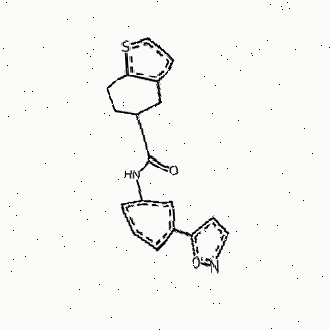 O=C(Nc1cccc(-c2ccno2)c1)C1CCc2sccc2C1